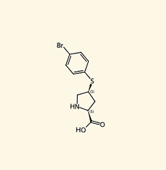 O=C(O)[C@@H]1C[C@H](Sc2ccc(Br)cc2)CN1